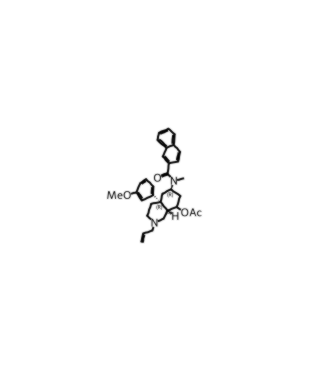 C=CCN1CC[C@@]2(c3cccc(OC)c3)C[C@@H](N(C)C(=O)c3ccc4ccccc4c3)CC(OC(C)=O)[C@@H]2C1